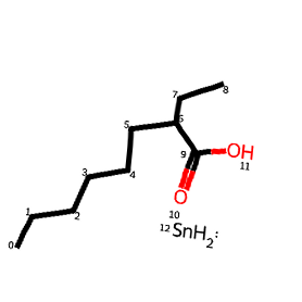 CCCCCCC(CC)C(=O)O.[SnH2]